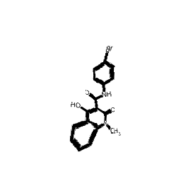 Cn1c(=O)c(C(=O)Nc2ccc(Br)cc2)c(O)c2ccccc21